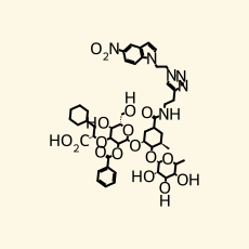 CC1O[C@@H](OC2[C@H](C)CC(C(=O)NCCc3cn(CCn4ccc5cc([N+](=O)[O-])ccc54)nn3)C[C@H]2O[C@@H]2O[C@@H](CO)[C@H](O)C(O[C@@H](CC3CCCCC3)C(=O)O)C2OC(=O)c2ccccc2)[C@@H](O)C(O)[C@@H]1O